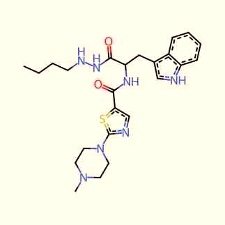 CCCCNNC(=O)C(Cc1c[nH]c2ccccc12)NC(=O)c1cnc(N2CCN(C)CC2)s1